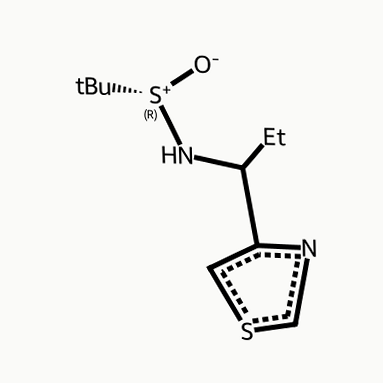 CCC(N[S@@+]([O-])C(C)(C)C)c1cscn1